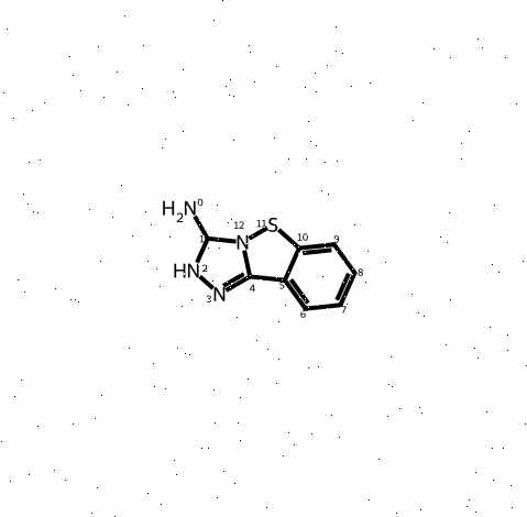 NC1NN=C2c3ccccc3SN21